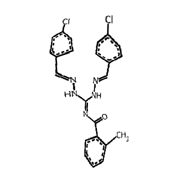 Cc1ccccc1C(=O)N=C(NN=Cc1ccc(Cl)cc1)NN=Cc1ccc(Cl)cc1